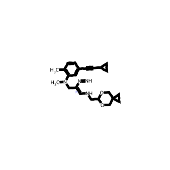 Cc1ccc(C#CC2CC2)cc1N(C)C/C(=C/NCC1OCC2(CC2)CO1)N=N